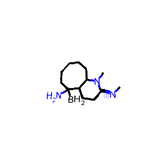 BC1(N)CCCCCC2C1CC/C(=N/C)N2C